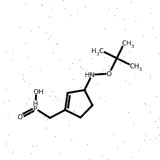 CC(C)(C)ONC1C=C(C[PH](=O)O)CC1